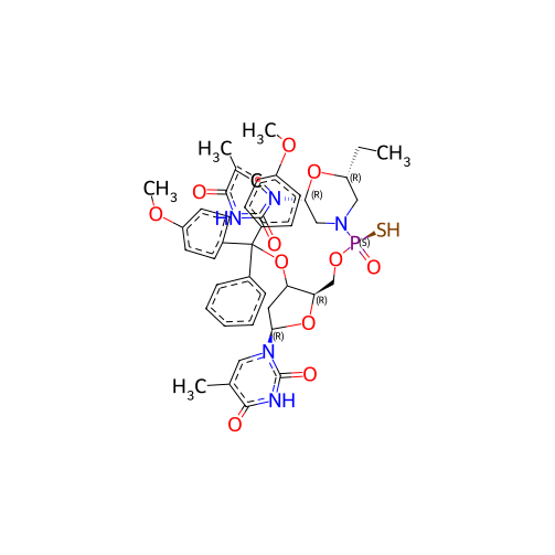 CC[C@@H]1CN([P@@](=O)(S)OC[C@H]2O[C@@H](n3cc(C)c(=O)[nH]c3=O)CC2OC(c2ccccc2)(c2ccc(OC)cc2)c2ccc(OC)cc2)C[C@H](n2cc(C)c(=O)[nH]c2=O)O1